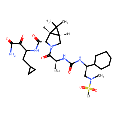 CCS(=O)(=O)N(C)C[C@@H](NC(=O)N[C@H](C(=O)N1C[C@H]2[C@@H]([C@H]1C(=O)NC(CC1CC1)C(=O)C(N)=O)C2(C)C)C(C)(C)C)C1CCCCC1